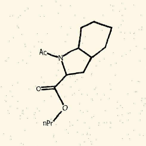 CCCOC(=O)C1CC2CCCCC2N1C(C)=O